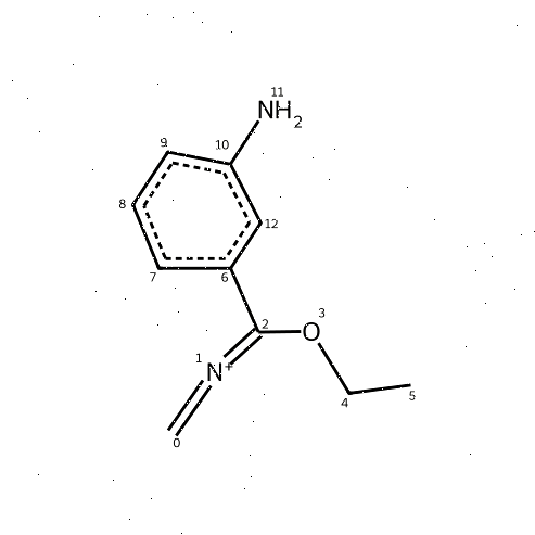 C=[N+]=C(OCC)c1cccc(N)c1